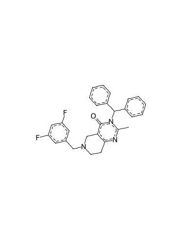 Cc1nc2c(c(=O)n1C(c1ccccc1)c1ccccc1)CN(Cc1cc(F)cc(F)c1)CC2